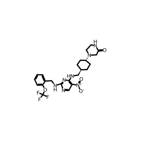 O=C1CN([C@H]2CC[C@H](CNc3nc(NCc4ccccc4OC(F)(F)F)ncc3[N+](=O)[O-])CC2)CCN1